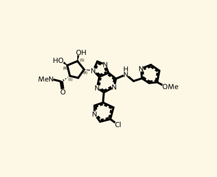 CNC(=O)[C@H]1C[C@@H](n2cnc3c(NCc4cc(OC)ccn4)nc(-c4cncc(Cl)c4)nc32)[C@H](O)[C@@H]1O